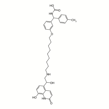 Cc1ccc(C(NC(=O)O)c2cccc(OCCCCCCCCCNCC(O)c3ccc(O)c4[nH]c(=O)ccc34)c2)cc1